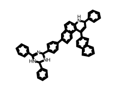 C1=C(c2ccc3ccccc3c2)c2c(ccc3cc(-c4ccc(C5N=C(c6ccccc6)NC(c6ccccc6)N5)cc4)ccc23)NC1c1ccccc1